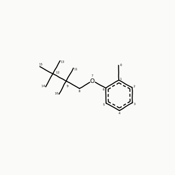 Cc1ccccc1OCC(C)(C)C(C)(C)C